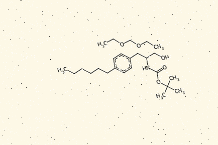 CCCCCCc1ccc(CC(CO)NC(=O)OC(C)(C)C)cc1.CCOCOCC